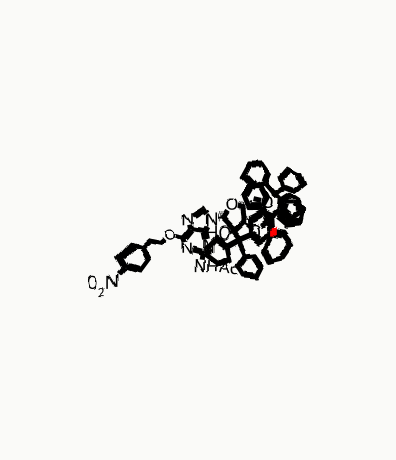 CC(=O)Nc1nc(OCCc2ccc([N+](=O)[O-])cc2)c2ncn([C@@H]3O[C@H](COC(c4ccccc4)(c4ccccc4)c4ccccc4)[C@@H](OC(c4ccccc4)(c4ccccc4)c4ccccc4)[C@]3(O)C(c3ccccc3)(c3ccccc3)c3ccccc3)c2n1